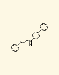 C(=C\c1ccccc1)/CNc1ccc(-c2ccccc2)cc1